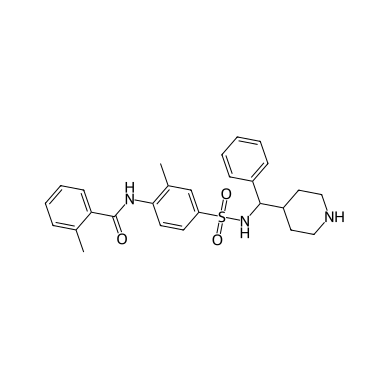 Cc1cc(S(=O)(=O)NC(c2ccccc2)C2CCNCC2)ccc1NC(=O)c1ccccc1C